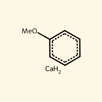 COc1ccccc1.[CaH2]